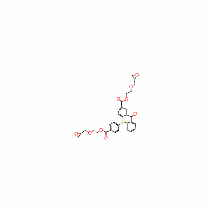 O=C(OCCOCC1CO1)c1ccc(-[s+]2c3ccccc3c(=O)c3cc(C(=O)OCCOCC4CO4)ccc32)cc1